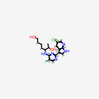 CC(O)C(CCCCO)Nc1nc(-c2c[nH]c3ncc(Cl)cc23)ncc1F